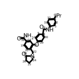 CC(C)c1ccc(NC(=O)c2ccc(Oc3cc(C(N)=O)ccc3CN3CCCC3=O)cc2)cc1